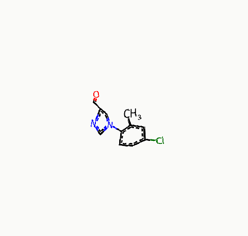 Cc1cc(Cl)ccc1-n1cnc(C=O)c1